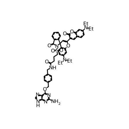 CCN(CC)c1ccc2c(c1)OC(c1cc3ccc(N(CC)CC)cc3oc1=O)=CC21c2ccccc2C(=O)N1S(=O)(=O)CCCC(=O)NCc1ccc(COc2nc(N)nc3[nH]cnc23)cc1